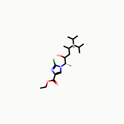 CCOC(=O)c1cn([C@@H](C)C(O)CC(C)[SiH](C(C)C)C(C)C)c(Br)n1